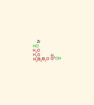 Cl.Cl.O.O.O.O.O.O.[Zr]